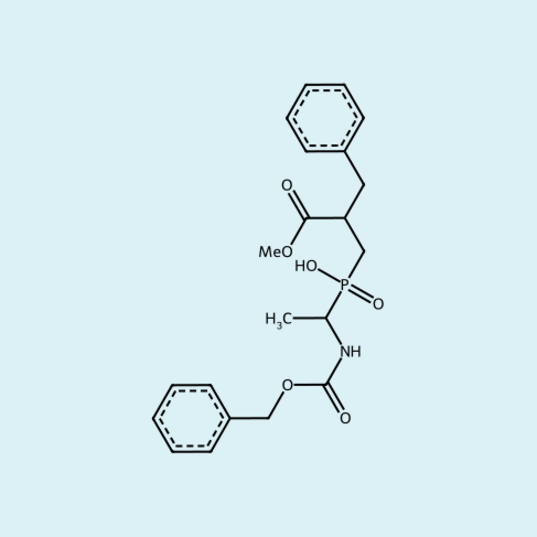 COC(=O)C(Cc1ccccc1)CP(=O)(O)C(C)NC(=O)OCc1ccccc1